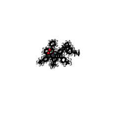 CC(C)(C)c1ccc(N2c3cc(N4c5ccc(C#N)cc5C5(C)CCCC45C)ccc3B3c4cc(-c5ccccc5)ccc4N(c4ccc(C(C)(C)C)cc4-c4ccccc4)c4cc(C(C)(C)C)cc2c43)cc1